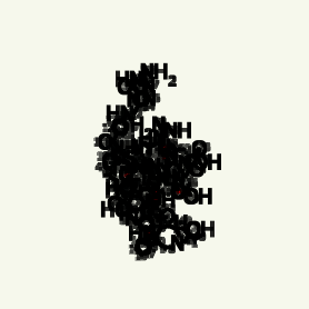 CC[C@]1(O)C[C@@H]2C[N@@](CCc3c([nH]c4ccccc34)[C@@](C(=O)OC)(c3cc4c(cc3OC)N(C)[C@H]3[C@@](O)(C(=O)NCCC[Si](C)(C)O[Si](C)(C)CSc5ncc(Cn6cc(C[C@H](NC(=O)[C@H](CC(=O)O)NC(=O)[C@H](CC(=O)O)NC(=O)[C@H](CCCNC(=N)N)NC(=O)[C@H](CC(=O)O)NC(=O)CC[C@@H](C)NC(=O)c7ccc(NCc8cnc9nc(N)[nH]c(=O)c9n8)cc7)C(=O)O)nn6)cn5)[C@H](O)[C@]5(CC)C=CCN6CC[C@]43[C@@H]65)C2)C1